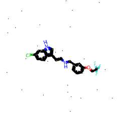 FC(F)(F)COc1cccc(CNCCc2c[nH]c3cc(Cl)ccc23)c1